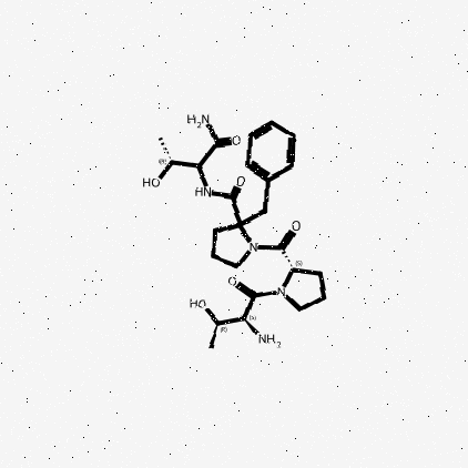 C[C@@H](O)C(NC(=O)C1(Cc2ccccc2)CCCN1C(=O)[C@@H]1CCCN1C(=O)[C@@H](N)[C@@H](C)O)C(N)=O